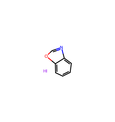 I.c1ccc2ocnc2c1